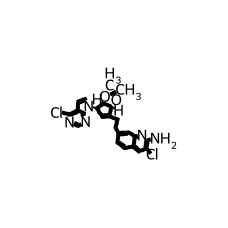 CC1(C)O[C@@H]2[C@H](O1)C(CCc1ccc3cc(Cl)c(N)nc3c1)=C[C@H]2n1ccc2c(Cl)ncnc21